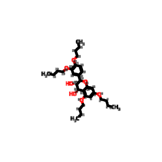 CCCCOc1cc(OCCCC)c2c(c1)OC(c1ccc(OCCCC)c(OCCCC)c1)[C@@H](O)[C@H]2O